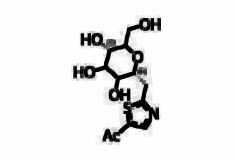 CC(=O)c1cnc(C[C@H]2OC(CO)[C@@H](O)C(O)C2O)s1